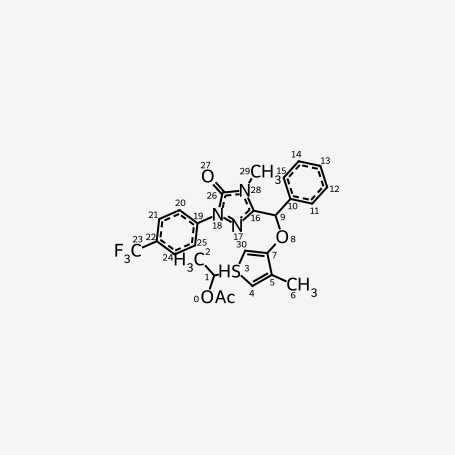 CC(=O)OC(C)[SH]1C=C(C)C(OC(c2ccccc2)c2nn(-c3ccc(C(F)(F)F)cc3)c(=O)n2C)=C1